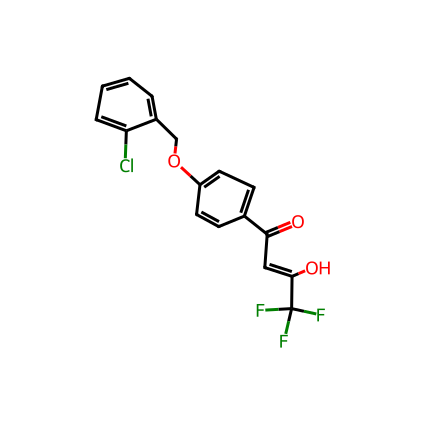 O=C(C=C(O)C(F)(F)F)c1ccc(OCc2ccccc2Cl)cc1